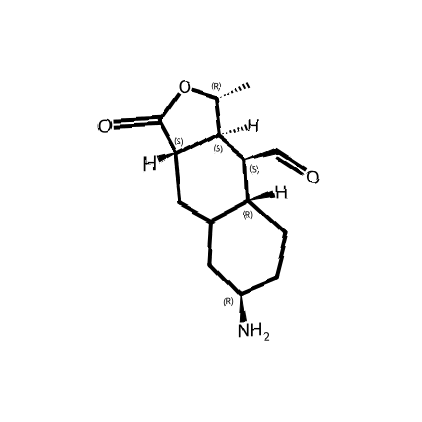 C[C@H]1OC(=O)[C@H]2CC3C[C@H](N)CC[C@H]3[C@H](C=O)[C@@H]21